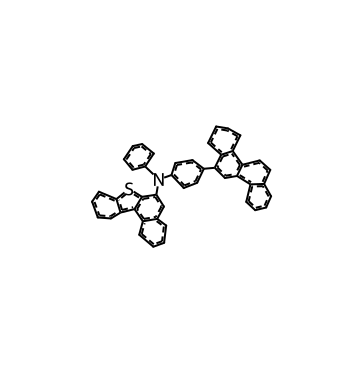 c1ccc(N(c2ccc(-c3cc4c5ccccc5ccc4c4ccccc34)cc2)c2cc3ccccc3c3c2sc2ccccc23)cc1